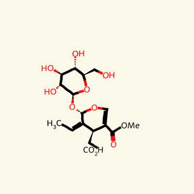 C/C=C1\[C@H](O[C@@H]2O[C@H](CO)[C@@H](O)[C@H](O)[C@H]2O)OC=C(C(=O)OC)[C@H]1CC(=O)O